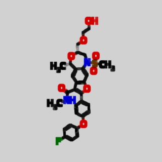 CNC(=O)c1c(-c2ccc(Oc3ccc(F)cc3)cc2)oc2cc3c(cc12)[C@H](C)O[C@H](COCCO)CN3S(C)(=O)=O